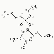 CC=Cc1cc(Cl)c(C)cc1OP(=O)(OCC)SCCC